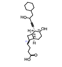 O=C(O)CC/C=C1/C[C@H]2[C@H](C#CC(O)CC3CCCCC3)[C@@H](O)CC[C@@H]12